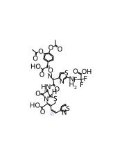 CC(=O)Oc1ccc([C@@H](ON=C(C(=O)N[C@@H]2C(=O)N3C(C(=O)O)=C(/C=C\c4ccsn4)CS[C@@H]23)c2csc(N)n2)C(=O)O)cc1OC(C)=O.O=C(O)C(F)(F)F